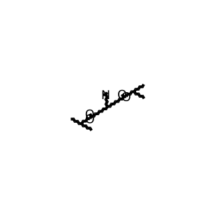 CCCCCC(CCCCC)CCCOC(=O)CCCCCCCC(CCCCCCCC(=O)OCCCC(CCCCC)CCCCC)CCCCN(C)C